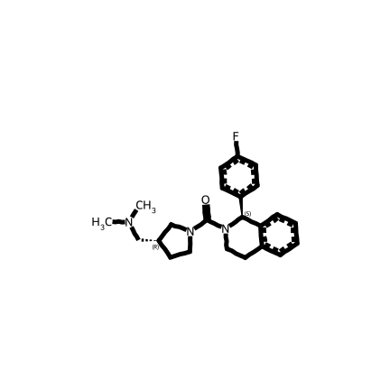 CN(C)C[C@H]1CCN(C(=O)N2CCc3ccccc3[C@@H]2c2ccc(F)cc2)C1